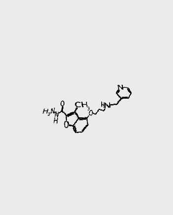 Cc1c(C(=O)NN)oc2cccc(OCCCNCc3cccnc3)c12